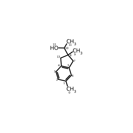 Cc1ccc2c(c1)CC(C)(C(C)O)C2